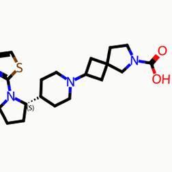 O=C(O)N1CCC2(CC(N3CCC([C@@H]4CCCN4c4nccs4)CC3)C2)C1